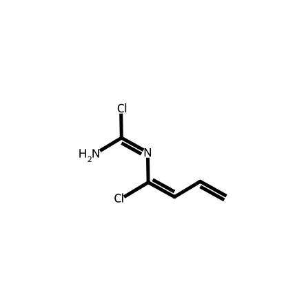 C=C/C=C(Cl)\N=C(/N)Cl